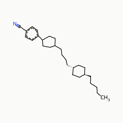 CCCCC[C@H]1CC[C@H](CCCCC2CCC(c3ccc(C#N)cc3)CC2)CC1